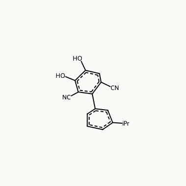 CC(C)c1cccc(-c2c(C#N)cc(O)c(O)c2C#N)c1